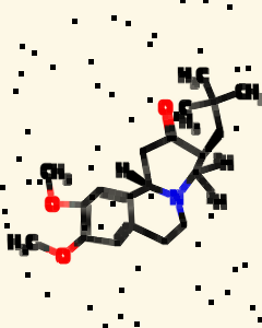 [2H]C1([2H])[C@H](CC(C)(C)C)C(=O)C[C@H]2c3cc(OC)c(OC)cc3CCN21